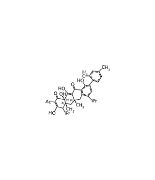 CC(=O)C1=C(O)C(C(C)C)[C@@]2(C)C[C@@]3(C)Cc4c(C(C)C)cc(-c5ccc(C)cc5C)c(O)c4C(=O)C3=C(O)[C@@]2(O)C1=O